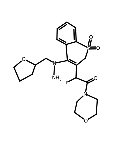 NN(CC1CCCO1)C1=C(C(I)C(=O)N2CCOCC2)CS(=O)(=O)c2ccccc21